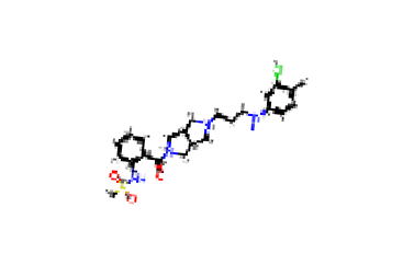 Cc1ccc(NCCCN2CC3CN(C(=O)c4ccccc4NS(C)(=O)=O)CC3C2)cc1Cl